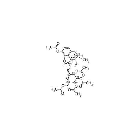 CC(=O)OC[C@H]1O[C@@H](SC2C=CC3[C@H]4Cc5ccc(OC(C)=O)c6c5[C@@]3(CCN4C)[C@H]2O6)[C@H](OC(C)=O)[C@@H](OC(C)=O)[C@@H]1OC(C)=O